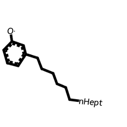 CCCCCCCCCCCCCc1cccc([O])c1